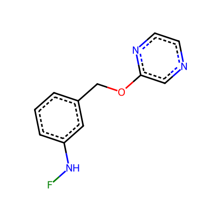 FNc1cccc(COc2cnccn2)c1